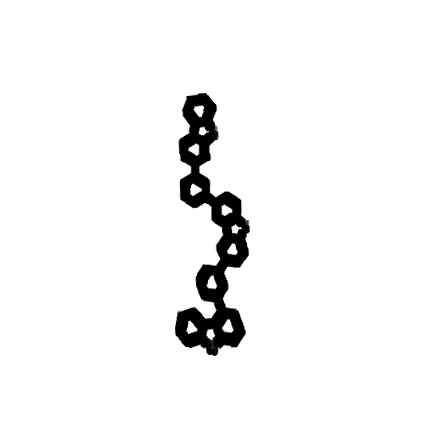 c1cc(-c2ccc3c(c2)sc2ccccc23)cc(-c2ccc3sc4ccc(-c5cccc(-c6cccc7oc8ccccc8c67)c5)cc4c3c2)c1